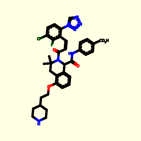 CC1(C)Cc2c(OCCC3CCNCC3)cccc2C(C(=O)Nc2ccc(C(=O)O)cc2)N1C(=O)C=Cc1c(-n2cnnn2)ccc(Cl)c1F